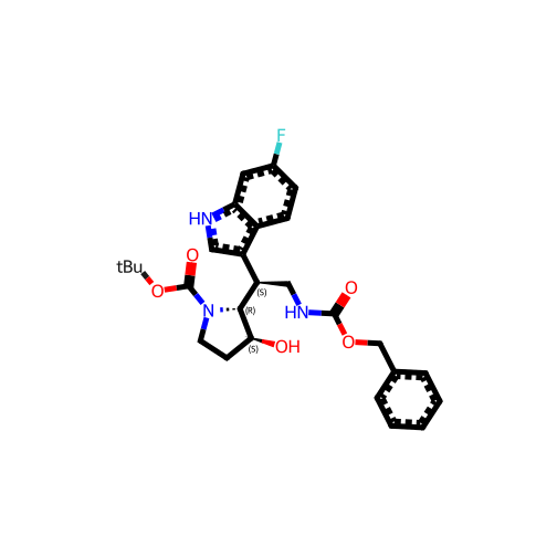 CC(C)(C)OC(=O)N1CC[C@H](O)[C@H]1[C@H](CNC(=O)OCc1ccccc1)c1c[nH]c2cc(F)ccc12